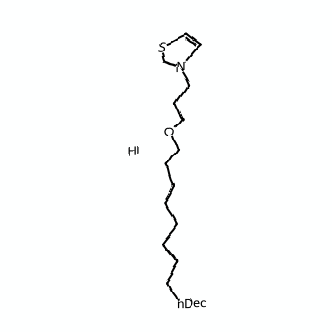 CCCCCCCCCCCCCCCCCCOCCCN1C=CSC1.I